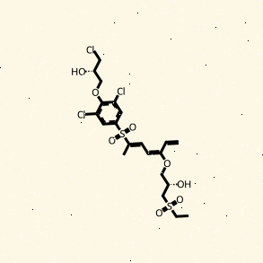 C=C/C(=C\C=C(/C)S(=O)(=O)c1cc(Cl)c(OC[C@H](O)CCl)c(Cl)c1)OC[C@H](O)CS(=O)(=O)CC